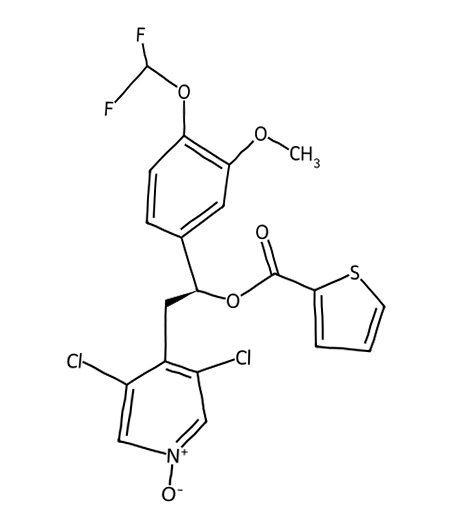 COc1cc([C@H](Cc2c(Cl)c[n+]([O-])cc2Cl)OC(=O)c2cccs2)ccc1OC(F)F